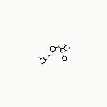 Nc1ncnc2c1c(C(=O)c1cccc(NC(=O)Nc3cc(Cl)nc(Cl)c3)c1)cn2C1CCCC1